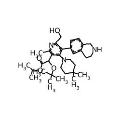 Cc1nc(CO)c(-c2ccc3c(c2)CCNC3)c(N2CCC(C)(C)CC2)c1C(OC(C)(C)C)C(=O)OC(C)C